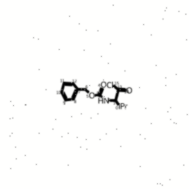 CC(C)C(NC(=O)OCc1ccccc1)C(=O)Cl